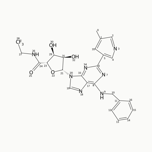 Cc1cncc(-c2nc(NCc3ccccc3)c3ncn([C@@H]4O[C@H](C(=O)NCC(F)(F)F)[C@@H](O)[C@H]4O)c3n2)c1